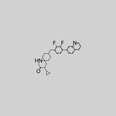 O=C1CNC2(CCC(Cc3ccc(-c4ccc5cccnc5c4)c(F)c3F)CC2)CC1C1CC1